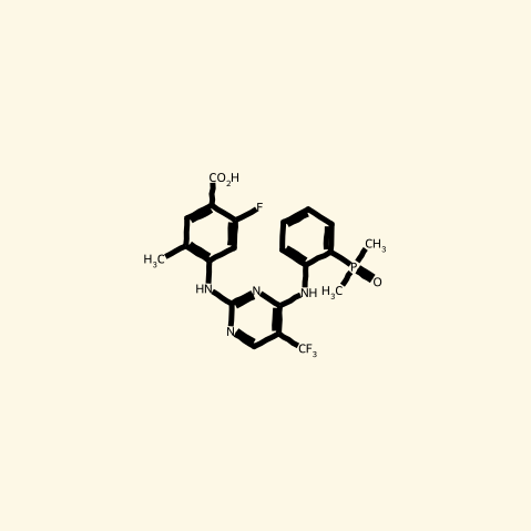 Cc1cc(C(=O)O)c(F)cc1Nc1ncc(C(F)(F)F)c(Nc2ccccc2P(C)(C)=O)n1